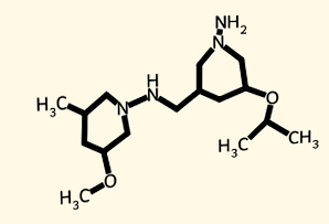 COC1CC(C)CN(NCC2CC(OC(C)C)CN(N)C2)C1